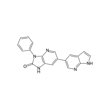 O=c1[nH]c2cc(-c3cnc4[nH]ccc4c3)cnc2n1-c1ccccc1